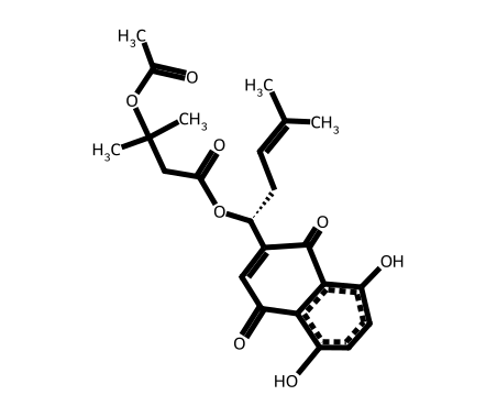 CC(=O)OC(C)(C)CC(=O)O[C@H](CC=C(C)C)C1=CC(=O)c2c(O)ccc(O)c2C1=O